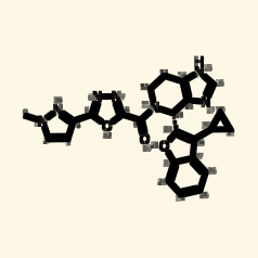 Cn1ccc(-c2nnc(C(=O)N3CCc4[nH]cnc4[C@@H]3c3oc4ccccc4c3C3CC3)o2)n1